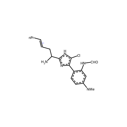 CCC/C=C/CC(N)c1nc(-c2ccc(NC)cc2NC=O)c(Cl)[nH]1